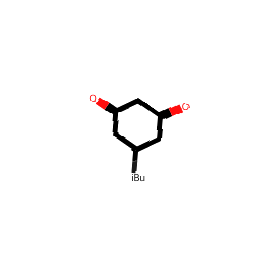 CCC(C)C1CC(=O)CC(=O)C1